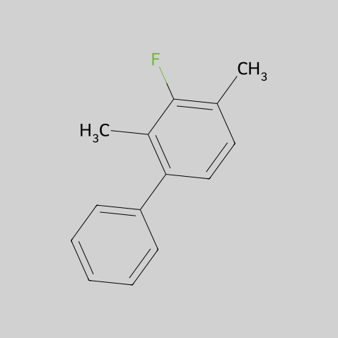 Cc1ccc(-c2ccccc2)c(C)c1F